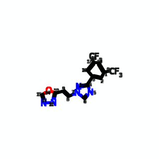 FC(F)(F)c1cc(-c2ncn(C=Cc3nnco3)n2)cc(C(F)(F)F)c1